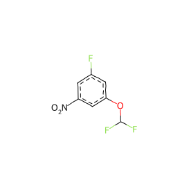 O=[N+]([O-])c1cc(F)cc(OC(F)F)c1